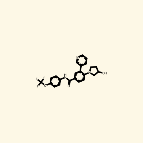 O=C(Nc1ccc(OC(F)(F)F)cc1)c1ccc(N2CCC(O)C2)c(-c2cccnc2)c1